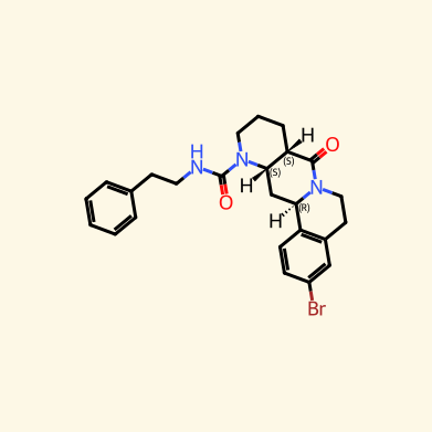 O=C1[C@H]2CCCN(C(=O)NCCc3ccccc3)[C@H]2C[C@@H]2c3ccc(Br)cc3CCN12